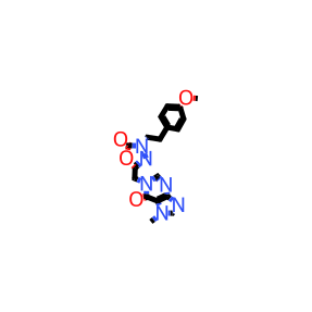 COc1ccc(CCn2nc(Cn3cnc4ncn(C)c4c3=O)oc2=O)cc1